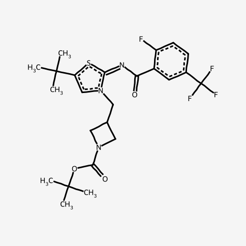 CC(C)(C)OC(=O)N1CC(Cn2cc(C(C)(C)C)sc2=NC(=O)c2cc(C(F)(F)F)ccc2F)C1